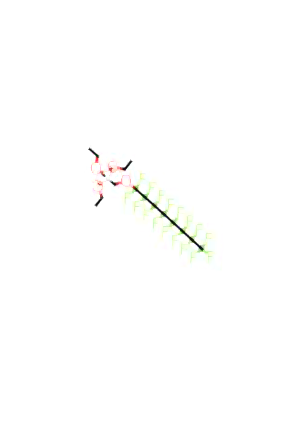 CCO[Si](COC(F)(F)C(F)(F)C(F)(F)C(F)(F)C(F)(F)C(F)(F)C(F)(F)C(F)(F)F)(OCC)OCC